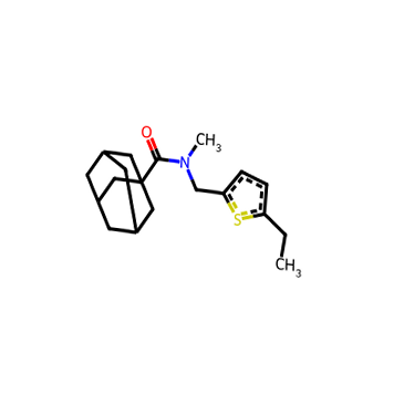 CCc1ccc(CN(C)C(=O)C23CC4CC(CC(C4)C2)C3)s1